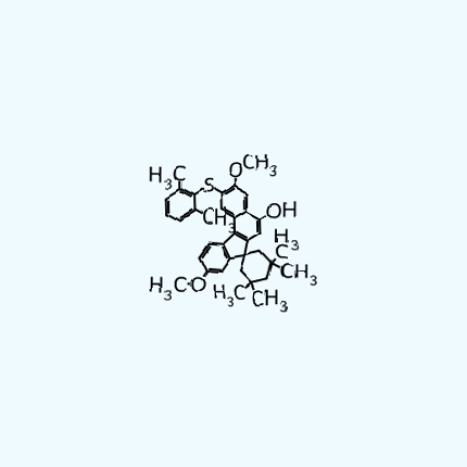 COc1ccc2c(c1)C1(CC(C)(C)CC(C)(C)C1)c1cc(O)c3cc(OC)c(Sc4c(C)cccc4C)cc3c1-2